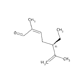 C=C(C)[C@H](CC)CC=C(C)C=O